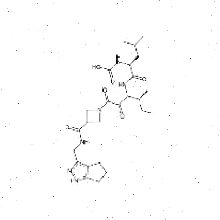 CC[C@H](C)C(NC(=O)[C@H](CC(C)C)NC(=O)O)C(=O)C(=O)N1CC(C(=O)NCc2n[nH]c3c2CCC3)C1